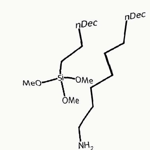 CCCCCCCCCCCCCCCCN.CCCCCCCCCCCC[Si](OC)(OC)OC